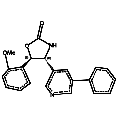 COc1ccccc1[C@H]1OC(=O)N[C@@H]1c1cncc(-c2ccccc2)c1